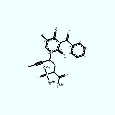 CC#CC(OC(C(=O)OC)P(=O)(OC)OC)n1cc(C)c(=O)n(C(=O)c2ccccc2)c1=O